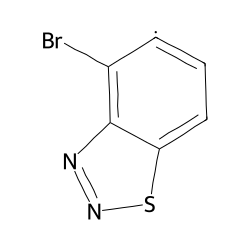 Brc1[c]ccc2snnc12